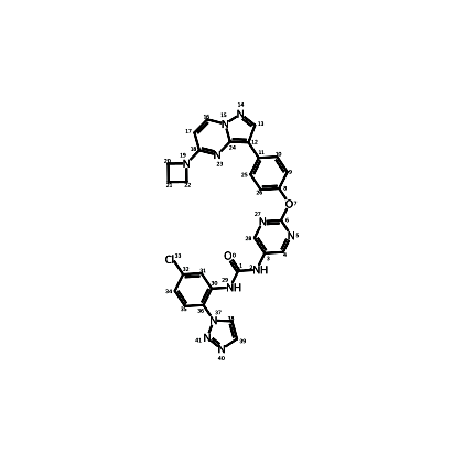 O=C(Nc1cnc(Oc2ccc(-c3cnn4ccc(N5CCC5)nc34)cc2)nc1)Nc1cc(Cl)ccc1-n1ccnn1